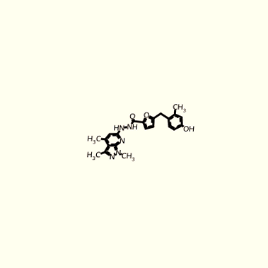 Cc1cc(O)ccc1Cc1ccc(C(=O)NNc2cc(C)c3c(C)nn(C)c3n2)o1